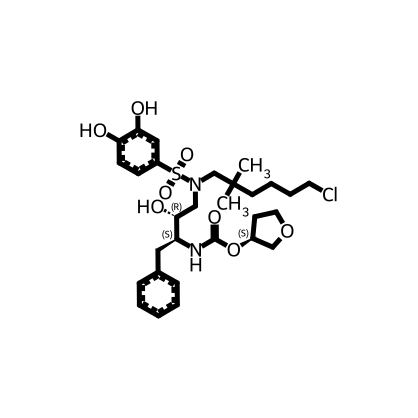 CC(C)(CCCCCl)CN(C[C@@H](O)[C@H](Cc1ccccc1)NC(=O)O[C@H]1CCOC1)S(=O)(=O)c1ccc(O)c(O)c1